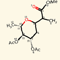 COC(=O)C(C)C1C[C@H](OC(C)=O)[C@@H](OC(C)=O)[C@H](C)O1